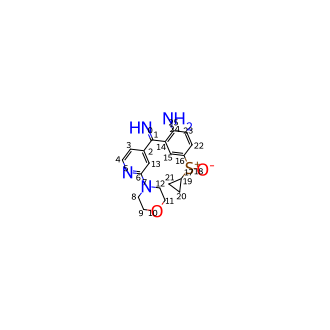 N=C(c1ccnc(N2CCOCC2)c1)c1cc([S+]([O-])C2CC2)ccc1N